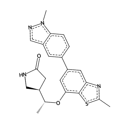 Cc1nc2cc(-c3ccc4c(cnn4C)c3)cc(O[C@H](C)[C@H]3CNC(=O)C3)c2s1